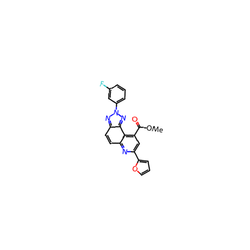 COC(=O)c1cc(-c2ccco2)nc2ccc3nn(-c4cccc(F)c4)nc3c12